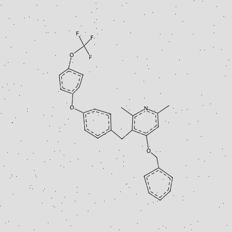 Cc1cc(OCc2ccccc2)c(Cc2ccc(Oc3ccc(OC(F)(F)F)cc3)cc2)c(C)n1